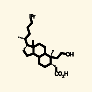 CC(C)CCC[C@@H](C)[C@H]1CCC2C3CC[C@@H](CC(=O)O)[C@](C)(CCO)C3CCC21C